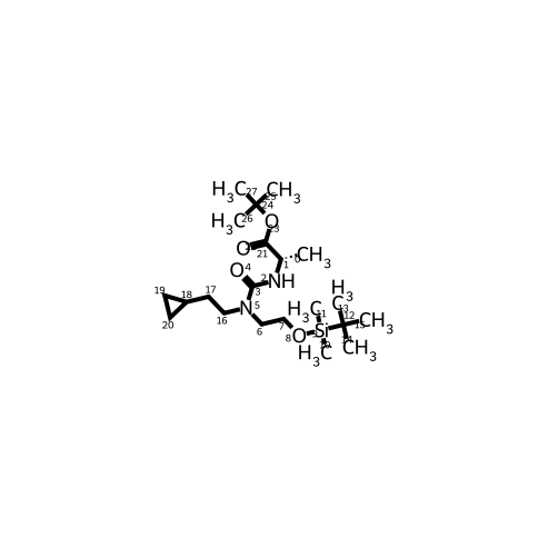 C[C@H](NC(=O)N(CCO[Si](C)(C)C(C)(C)C)CCC1CC1)C(=O)OC(C)(C)C